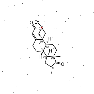 CCSC[C@]12CCC(=O)C=C1CC[C@@H]1[C@@H]2CC[C@]2(C)C(=O)[C@H](C)C[C@@H]12